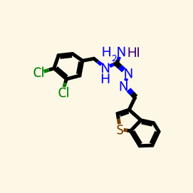 I.NC(=NN=Cc1csc2ccccc12)NCc1ccc(Cl)c(Cl)c1